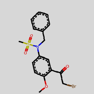 COc1ccc(N(Cc2ccccc2)S(C)(=O)=O)cc1C(=O)CBr